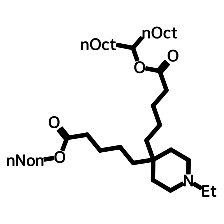 CCCCCCCCCOC(=O)CCCCC1(CCCCC(=O)OC(CCCCCCCC)CCCCCCCC)CCN(CC)CC1